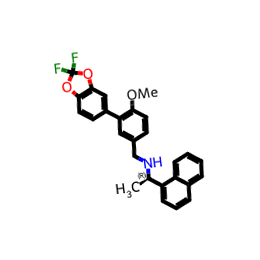 COc1ccc(CN[C@H](C)c2cccc3ccccc23)cc1-c1ccc2c(c1)OC(F)(F)O2